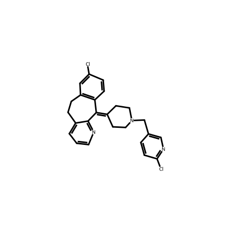 Clc1ccc2c(c1)CCc1cccnc1C2=C1CCN(Cc2ccc(Cl)nc2)CC1